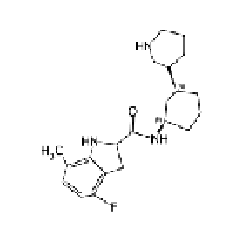 Cc1ccc(F)c2c1NC(C(=O)N[C@@H]1CCC[C@H](C3CCCNC3)C1)C2